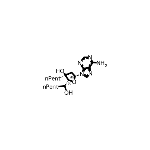 CCCCCC(O)[C@H]1O[C@@H](n2cnc3c(N)ncnc32)C[C@@]1(O)CCCCC